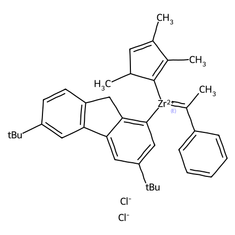 CC1=CC(C)[C](/[Zr+2](=[C](\C)c2ccccc2)[c]2cc(C(C)(C)C)cc3c2Cc2ccc(C(C)(C)C)cc2-3)=C1C.[Cl-].[Cl-]